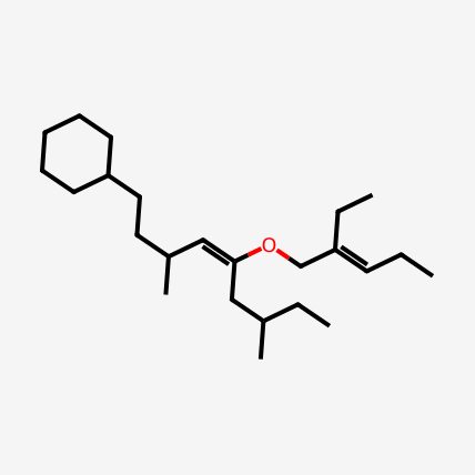 CC/C=C(\CC)CO/C(=C/C(C)CCC1CCCCC1)CC(C)CC